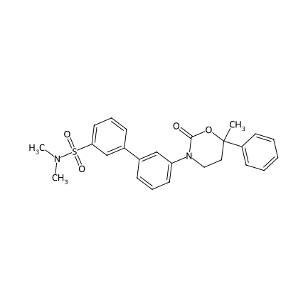 CN(C)S(=O)(=O)c1cccc(-c2cccc(N3CCC(C)(c4ccccc4)OC3=O)c2)c1